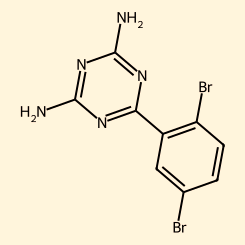 Nc1nc(N)nc(-c2cc(Br)ccc2Br)n1